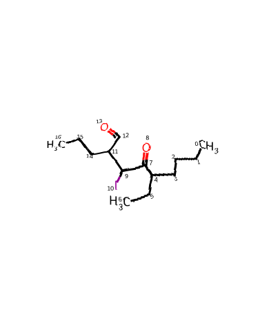 CCCCC(CC)C(=O)C(I)C(C=O)CCC